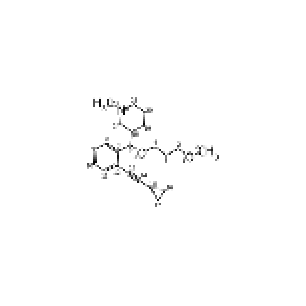 COCCCOC(c1ccccc1C#CC1CC1)C1CCCN(C)C1